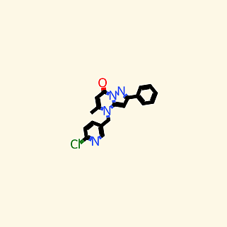 Cc1cc(=O)n2nc(-c3ccccc3)cc2n1Cc1ccc(Cl)nc1